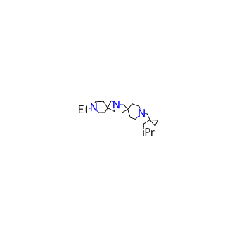 CCN1CCC2(CC1)CN(CC1(C)CCN(CC3(CC(C)C)CC3)CC1)C2